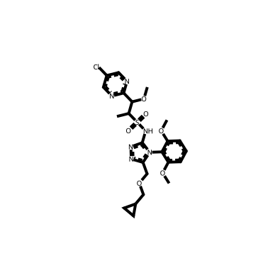 COc1cccc(OC)c1-n1c(COCC2CC2)nnc1NS(=O)(=O)C(C)C(OC)c1ncc(Cl)cn1